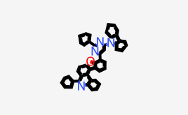 c1ccc(-c2nc(-c3cccc4c3oc3ccc5c(-c6ccccc6)nc6ccccc6c5c34)cc(-n3c4ccccc4c4ccccc43)n2)cc1